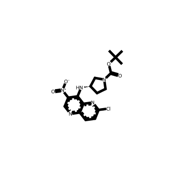 CC(C)(C)OC(=O)N1CC[C@H](Nc2c([N+](=O)[O-])cnc3ccc(Cl)nc23)C1